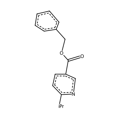 CC(C)c1ccc(C(=O)OCc2ccccc2)cn1